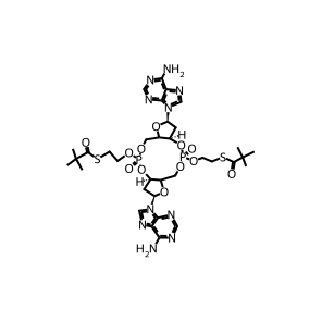 CC(C)(C)C(=O)SCCOP1(=O)OCC2O[C@@H](n3cnc4c(N)ncnc43)C[C@H]2OP(=O)(OCCSC(=O)C(C)(C)C)OCC2O[C@@H](n3cnc4c(N)ncnc43)C[C@H]2O1